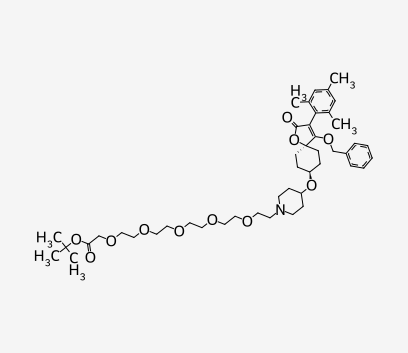 Cc1cc(C)c(C2=C(OCc3ccccc3)[C@]3(CC[C@H](OC4CCN(CCOCCOCCOCCOCCOCC(=O)OC(C)(C)C)CC4)CC3)OC2=O)c(C)c1